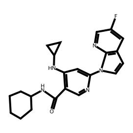 O=C(NC1CCCCC1)c1cnc(-n2ccc3cc(F)cnc32)cc1NC1CC1